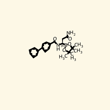 CC1(C)OB([C@H](CC(N)=O)NC(=O)c2ccc(-c3ccccc3)cc2)OC1(C)C